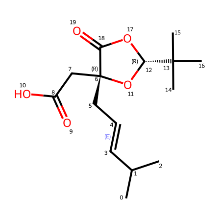 CC(C)/C=C/C[C@]1(CC(=O)O)O[C@@H](C(C)(C)C)OC1=O